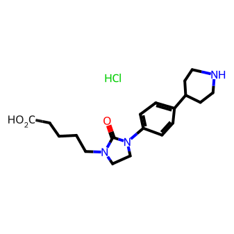 Cl.O=C(O)CCCCN1CCN(c2ccc(C3CCNCC3)cc2)C1=O